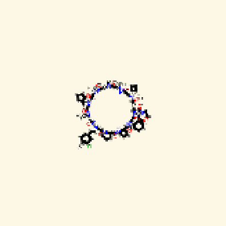 CC[C@H](C)[C@@H]1NC(=O)[C@H](C2CCC2)N(C)C(=O)C[C@@H](C(=O)N2CCOCC2)N(C)C(=O)[C@H](C2CCCCC2)N(C)C(=O)C2(CCCC2)NC(=O)[C@@H]2CCCN2C(=O)[C@H](CCc2ccc(C(F)(F)F)c(Cl)c2)NC(=O)CN(C)C(=O)[C@H](CC2CCCC2)N(C)C(=O)CN(C)C(=O)CN(C)C1=O